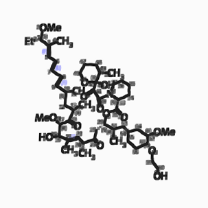 CC[C@H](OC)/C(C)=C/C=C/C=C/[C@@H](C)C[C@@H](C)C(=O)[C@H](OC)[C@H](O)/C(C)=C/[C@@H](C)C(=O)C[C@H](OC(=O)[C@@H]1CCCCN1C(=O)C(=O)[C@]1(O)OCCC[C@H]1C)[C@H](C)C[C@@H]1CC[C@@H](OCCO)[C@H](OC)C1